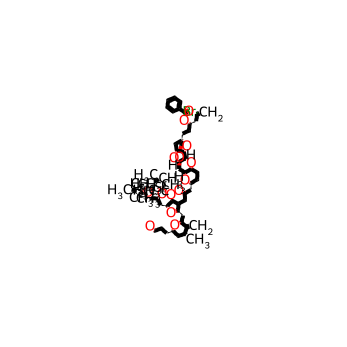 C=C(Br)C[C@H](CC[C@@]12CC3O[C@H]4C(O1)[C@H]1O[C@@H](CC(=O)CC5[C@H](CC6O[C@@H](CCC=O)CC(C)C6=C)O[C@H](CC(CO[Si](C)(C)C(C)(C)C)O[Si](C)(C)C(C)(C)C)[C@@H]5OC)CCC1O[C@H]4C3O2)OC(=O)c1ccccc1